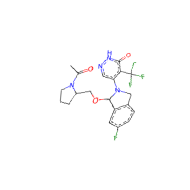 CC(=O)N1CCCC1COC1c2cc(F)ccc2CN1c1cn[nH]c(=O)c1C(F)(F)F